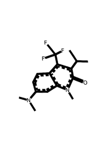 CC(C)c1c(C(F)(F)F)c2ccc(N(C)C)cc2n(C)c1=O